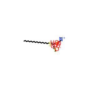 CCCCCCCCCCCCCCCCCCSCC(COP(=O)(O)OCC[N+](C)(C)C)OCC[S+](C)[O-]